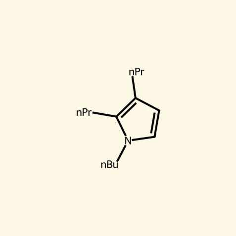 CCCCn1ccc(CCC)c1CCC